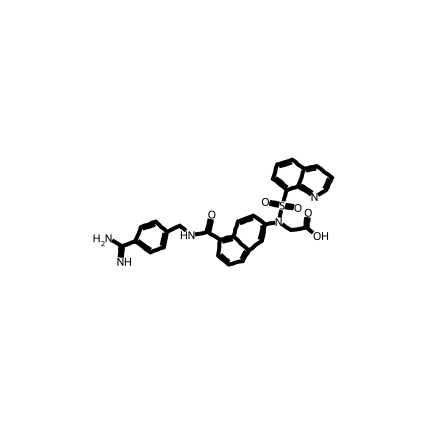 N=C(N)c1ccc(CNC(=O)c2cccc3cc(N(CC(=O)O)S(=O)(=O)c4cccc5cccnc45)ccc23)cc1